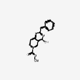 CC(C)(C)OC(=O)N1CCc2nc(Cc3ccccc3)nc(O)c2C1